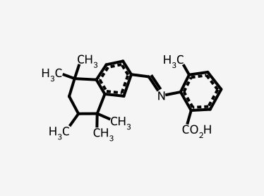 Cc1cccc(C(=O)O)c1N=Cc1ccc2c(c1)C(C)(C)C(C)CC2(C)C